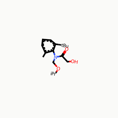 Cc1cccc(C(C)(C)C)c1N(COC(C)C)C(=O)CO